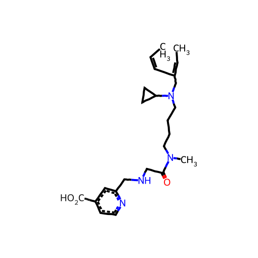 C/C=C\C(=C/C)CN(CCCCN(C)C(=O)CNCc1cc(C(=O)O)ccn1)C1CC1